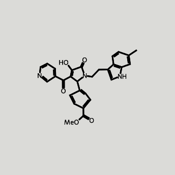 COC(=O)c1ccc(C2C(C(=O)c3cccnc3)=C(O)C(=O)N2CCc2c[nH]c3cc(C)ccc23)cc1